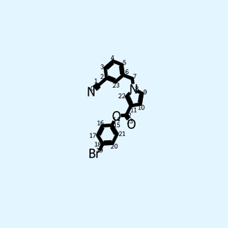 N#Cc1cccc(Cn2ccc(C(=O)Oc3ccc(Br)cc3)c2)c1